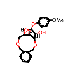 COc1ccc(O[C@@H]2O[C@@H]3COCc4ccccc4CO[C@H]([C@H]2O)[C@@H]3O)cc1